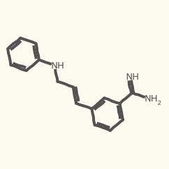 N=C(N)c1cccc(/C=C/CNc2ccccc2)c1